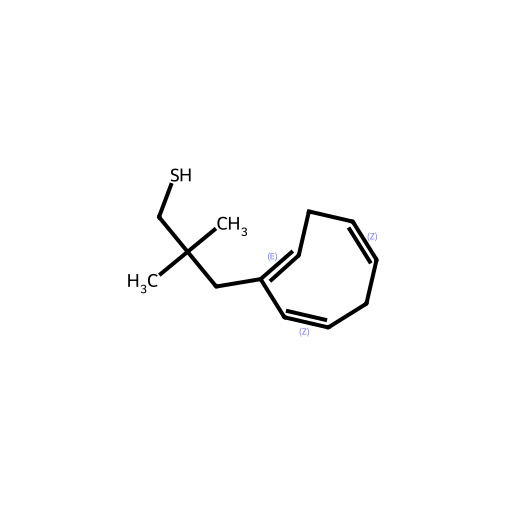 CC(C)(CS)CC1=C\C/C=C\C/C=C\1